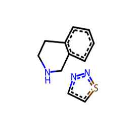 c1ccc2c(c1)CCNC2.c1csnn1